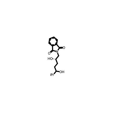 CC(C)C(O)CC[C@H](O)CN1C(=O)c2ccccc2C1=O